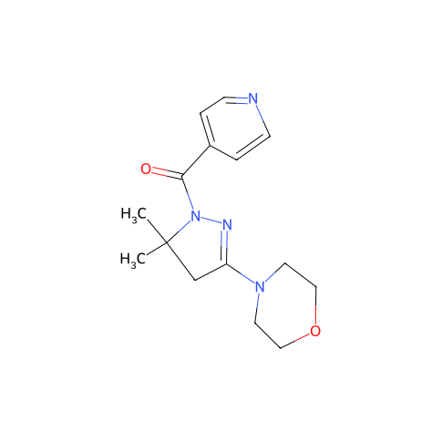 CC1(C)CC(N2CCOCC2)=NN1C(=O)c1ccncc1